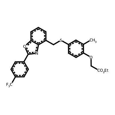 CCOC(=O)COc1ccc(SCc2cccc3oc(-c4ccc(C(F)(F)F)cc4)nc23)cc1C